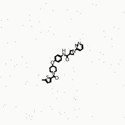 Cc1ccc(C(=O)N2CCC(Oc3ccc(NC(=O)C4CN(c5cccnn5)C4)cc3)CC2)s1